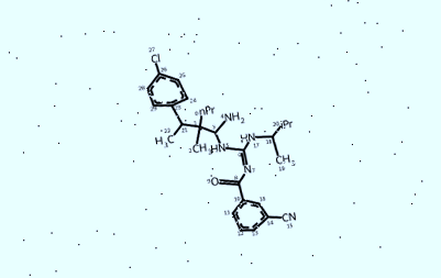 CCCC(C)(C(N)N/C(=N\C(=O)c1cccc(C#N)c1)NC(C)C(C)C)C(C)c1ccc(Cl)cc1